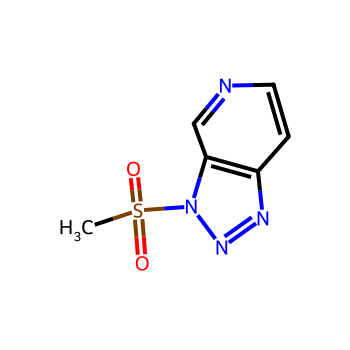 CS(=O)(=O)n1nnc2ccncc21